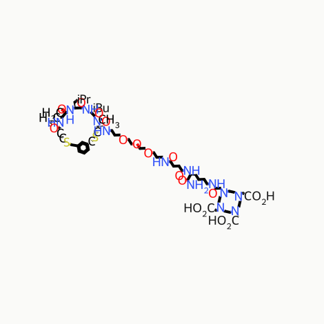 CC[C@H](C)[C@@H]1NC(=O)[C@H](CC(C)C)NC(=O)C(C)(C)NC(=O)CCSCc2cccc(c2)CSC[C@@H](C(=O)NCCCOCCOCCOCCCNC(=O)CCC(=O)N[C@@H](CCCCNC(=O)CN2CCN(CC(=O)O)CCN(CC(=O)O)CCN(CC(=O)O)CC2)C(N)=O)N(C)C1=O